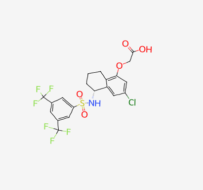 O=C(O)COc1cc(Cl)cc2c1CCC[C@H]2NS(=O)(=O)c1cc(C(F)(F)F)cc(C(F)(F)F)c1